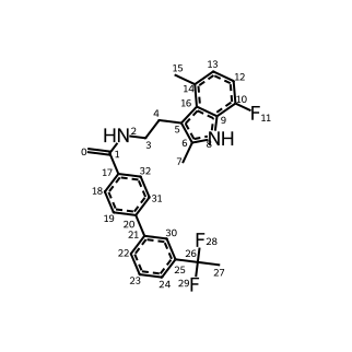 C=C(NCCc1c(C)[nH]c2c(F)ccc(C)c12)c1ccc(-c2cccc(C(C)(F)F)c2)cc1